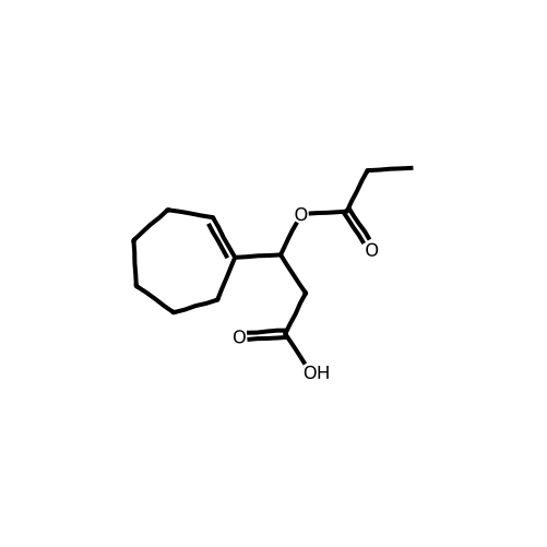 CCC(=O)OC(CC(=O)O)C1=CCCCCC1